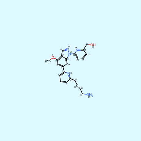 CC(C)Oc1cc(-c2cccc(CCCCN)n2)cc2c1cnn2-c1cccc(CO)n1